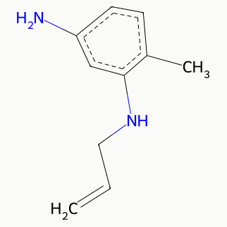 C=CCNc1cc(N)ccc1C